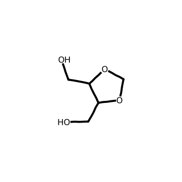 OCC1OCOC1CO